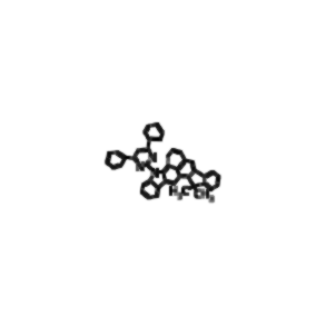 CC1(C)c2ccccc2-c2cc3c4c(c5c(cc4c21)c1ccccc1n5-c1nc(-c2ccccc2)cc(-c2ccccc2)n1)CC=C3